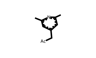 CC(=O)Cc1cc(C)nc(C)c1